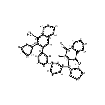 CC1=C(C(c2ccccc2)c2ccccc2)C(=O)c2ccccc2C1=O.Oc1c(-c2ccccc2)c(-c2ccccc2)cc2ccccc12